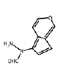 NN(C=O)c1ccc2coccc1-2